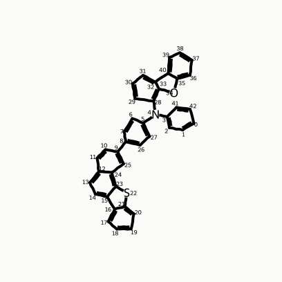 c1ccc(N(c2ccc(-c3ccc4ccc5c6ccccc6sc5c4c3)cc2)c2cccc3c2oc2ccccc23)cc1